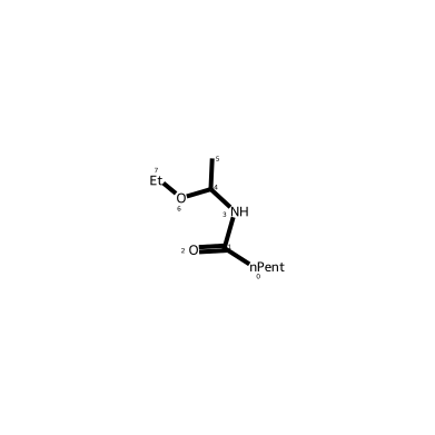 CCCCCC(=O)NC(C)OCC